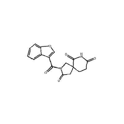 O=C1CCC2(CC(=O)N(C(=O)c3coc4ccccc34)C2)C(=O)N1